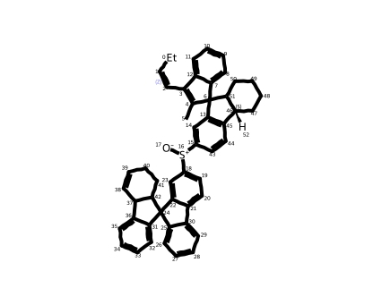 CC/C=C\C1=C(C)C2(c3ccccc31)c1cc([S+]([O-])c3ccc4c(c3)C3(c5ccccc5-4)c4ccccc4C4C=CCCC43)ccc1[C@H]1CCCCC12